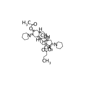 CCCC(=O)O[C@@H]1[C@@H](N2CCCCC2)C[C@H]2[C@@H]3CC[C@H]4C[C@H](OC(C)=O)[C@@H](N5CCCCC5)C[C@]4(C)[C@H]3CC[C@]12C